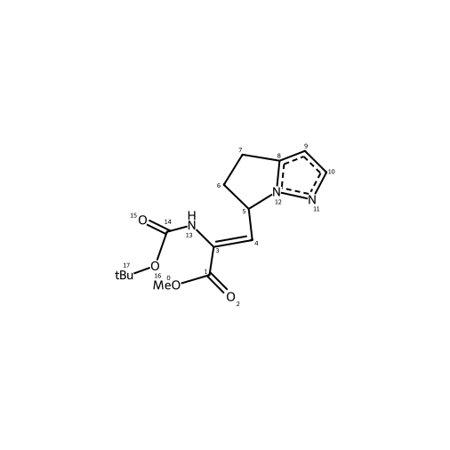 COC(=O)C(=CC1CCc2ccnn21)NC(=O)OC(C)(C)C